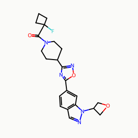 O=C(N1CCC(c2noc(-c3ccc4cnn(C5COC5)c4c3)n2)CC1)C1(F)CCC1